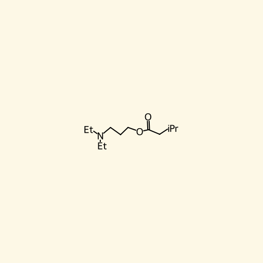 CCN(CC)CCCOC(=O)CC(C)C